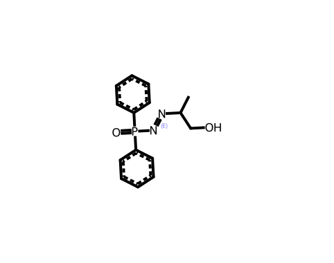 CC(CO)/N=N/P(=O)(c1ccccc1)c1ccccc1